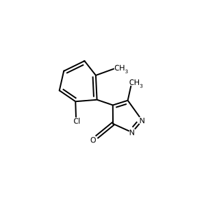 CC1=C(c2c(C)cccc2Cl)C(=O)N=N1